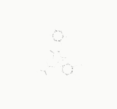 C=CC[C@@](CN(C)C(=O)C(F)(F)F)(c1ccc(Cl)c(Cl)c1)N(C)C(=O)Oc1ccccc1